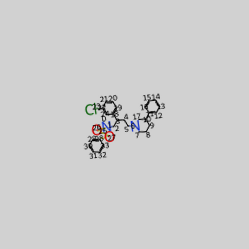 CN(CC(CCN1CCCC(c2ccccc2)C1)c1cccc(Cl)c1)S(=O)(=O)c1ccccc1